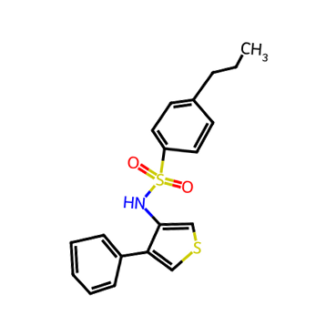 CCCc1ccc(S(=O)(=O)Nc2cscc2-c2ccccc2)cc1